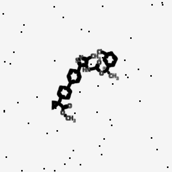 COC(=O)C1(c2ccc(-c3ccc(-c4snc(C)c4NC(=O)O[C@H](C)c4cccc(Cl)c4)cc3)cc2)CC1